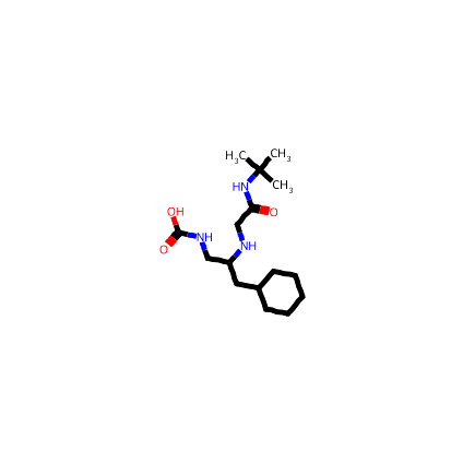 CC(C)(C)NC(=O)CNC(CNC(=O)O)CC1CCCCC1